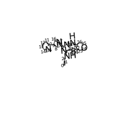 C#CCNc1nc(-n2cc(-c3ccccn3)cn2)nc(NC2CCOCC2)c1Br